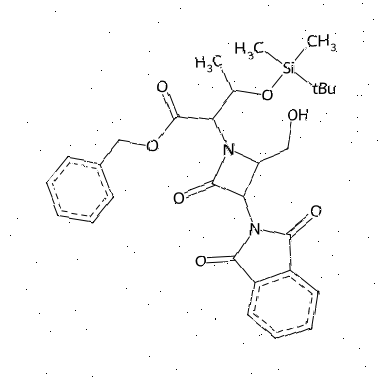 CC(O[Si](C)(C)C(C)(C)C)C(C(=O)OCc1ccccc1)N1C(=O)C(N2C(=O)c3ccccc3C2=O)C1CO